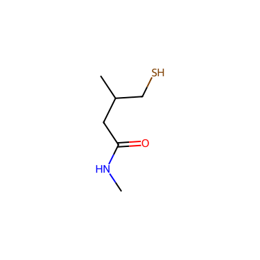 CNC(=O)CC(C)CS